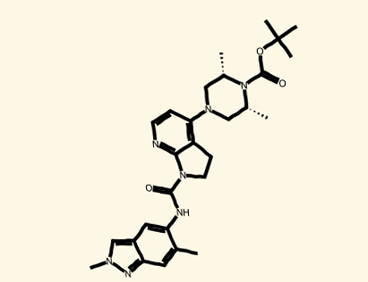 Cc1cc2nn(C)cc2cc1NC(=O)N1CCc2c(N3C[C@@H](C)N(C(=O)OC(C)(C)C)[C@@H](C)C3)ccnc21